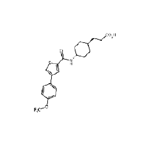 O=C(O)CC[C@H]1CC[C@H](NC(=O)c2cc(-c3ccc(OC(F)(F)F)cc3)cs2)CC1